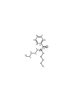 CCCCCN(CCCCC)C(=O)c1[c]cccc1